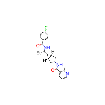 CCC(NC(=O)c1ccc(Cl)cc1)[C@H]1[C@@H]2C[C@@H](NC(=O)c3cccnc3C)C[C@@H]21